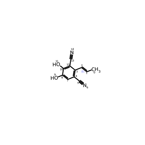 C/C=C/c1c(C#N)cc(O)c(O)c1C#N